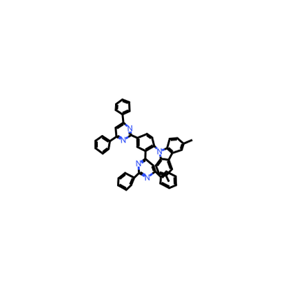 Cc1ccc2c(c1)c1cc(C)ccc1n2-c1ccc(-c2nc(-c3ccccc3)cc(-c3ccccc3)n2)cc1-c1cc(-c2ccccc2)nc(-c2ccccc2)n1